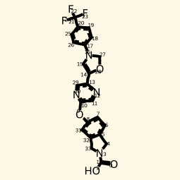 O=C(O)N1Cc2ccc(Oc3cnc(C4=CN(c5ccc(C(F)(F)F)cc5)CO4)cn3)cc2C1